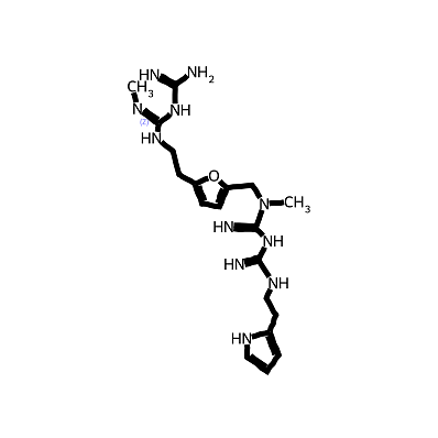 C/N=C(/NCCc1ccc(CN(C)C(=N)NC(=N)NCCc2ccc[nH]2)o1)NC(=N)N